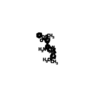 COc1ncc(-c2cc(N)c(C=N)c(-c3ncc(CN4CCN(C(C)C)CC4)o3)c2)cc1C(=O)Oc1ccccc1